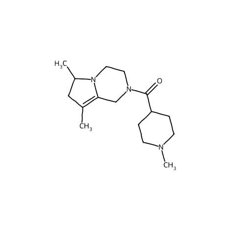 CC1=C2CN(C(=O)C3CCN(C)CC3)CCN2C(C)C1